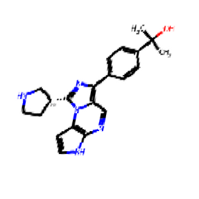 CC(C)(O)c1ccc(-c2nc([C@@H]3CCNC3)n3c2cnc2[nH]ccc23)cc1